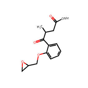 COC(=O)CC(C)C(=O)c1ccccc1OCC1CO1